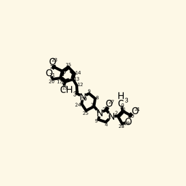 CC1=C(N2CCN(C3CCN(CCc4ccc5c(c4C)COC5=O)CC3)C2=O)COC1=O